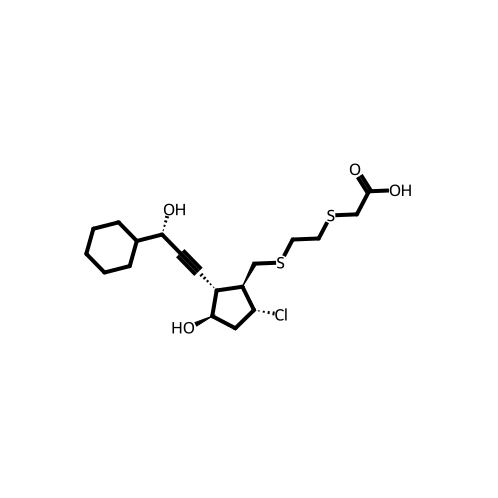 O=C(O)CSCCSC[C@@H]1[C@@H](C#C[C@@H](O)C2CCCCC2)[C@H](O)C[C@H]1Cl